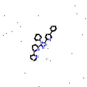 c1ccc(-c2ccc(-c3nnc(-c4cccc(-c5ccccn5)n4)n3-c3ccccc3)nc2)cc1